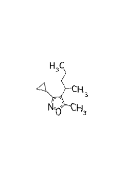 CCCC(C)c1c(C2CC2)noc1C